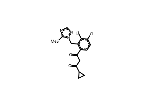 CSc1ncnn1Cc1c(C(=O)CC(=O)C2CC2)ccc(Cl)c1Cl